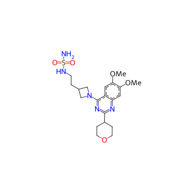 COc1cc2nc(C3CCOCC3)nc(N3CC(CCNS(N)(=O)=O)C3)c2cc1OC